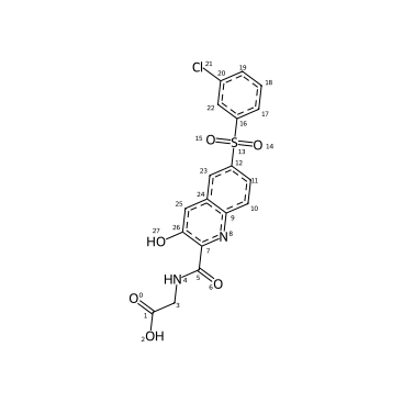 O=C(O)CNC(=O)c1nc2ccc(S(=O)(=O)c3cccc(Cl)c3)cc2cc1O